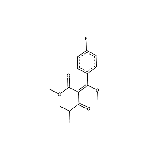 COC(=O)C(C(=O)C(C)C)=C(OC)c1ccc(F)cc1